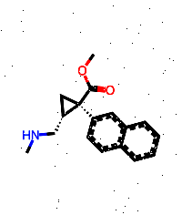 CNC[C@@H]1C[C@]1(C(=O)OC)c1ccc2ccccc2c1